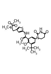 COc1c(C(=O)Nc2cc(CN(C)S(C)(=O)=O)cs2)cc(N2CCC(=O)NC2=O)cc1C(C)(C)C